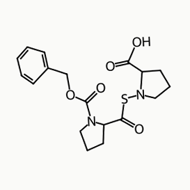 O=C(O)C1CCCN1SC(=O)C1CCCN1C(=O)OCc1ccccc1